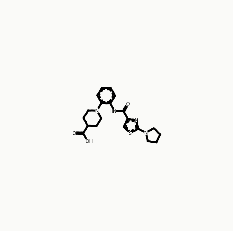 O=C(Nc1ccccc1N1CCC(C(=O)O)CC1)c1csc(N2CCCC2)n1